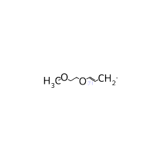 [CH2]/C=C/OCCOC